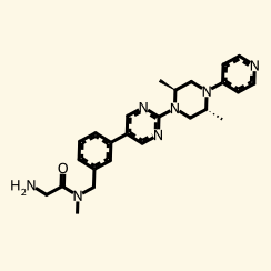 C[C@@H]1CN(c2ncc(-c3cccc(CN(C)C(=O)CN)c3)cn2)[C@@H](C)CN1c1ccncc1